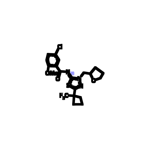 COc1ccc(Cl)cc1C(=O)/N=c1\sc(C2(C(F)(F)F)CCC2)nn1CC1CCCO1